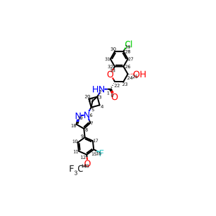 O=C(NC12CC(n3cc(-c4ccc(OC(F)(F)F)c(F)c4)cn3)(C1)C2)[C@H]1C[C@@H](O)c2cc(Cl)ccc2O1